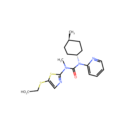 CN(C(=O)N(c1ccccn1)[C@H]1CC[C@H](C)CC1)c1ncc(SCC(=O)O)s1